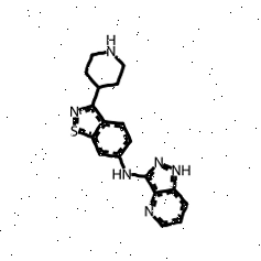 c1cnc2c(Nc3ccc4c(C5CCNCC5)nsc4c3)n[nH]c2c1